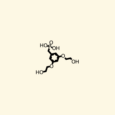 O=P(O)(O)Cc1cc(OCCO)cc(OCCO)c1